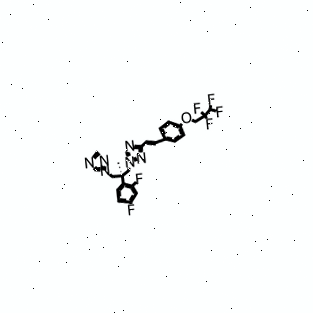 C[C@](Cn1cncn1)(Cn1cnc(/C=C/c2ccc(OCC(F)(F)C(F)F)cc2)n1)c1ccc(F)cc1F